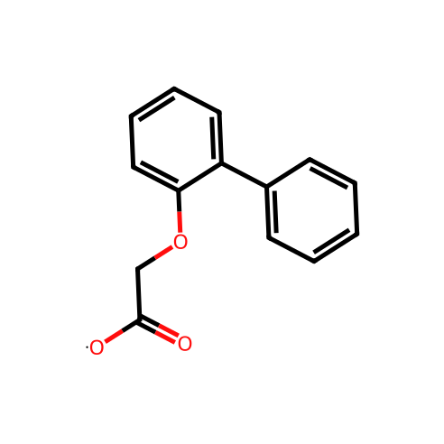 [O]C(=O)COc1ccccc1-c1ccccc1